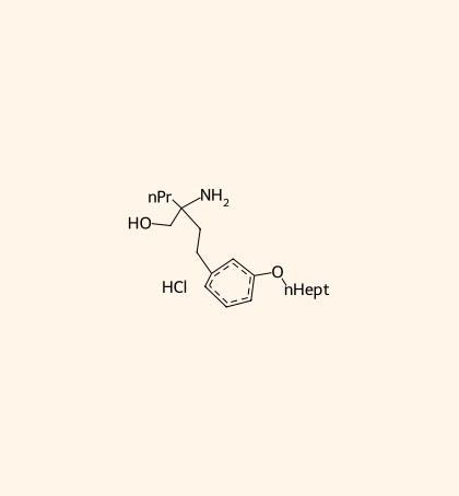 CCCCCCCOc1cccc(CCC(N)(CO)CCC)c1.Cl